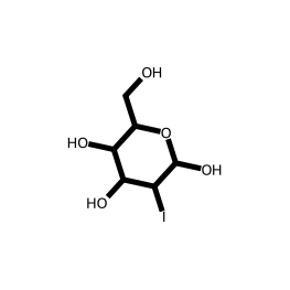 OCC1OC(O)C(I)C(O)C1O